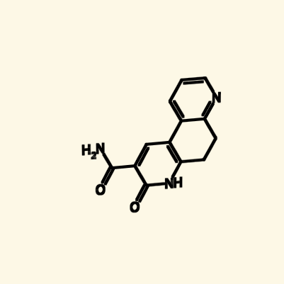 NC(=O)c1cc2c([nH]c1=O)CCc1ncccc1-2